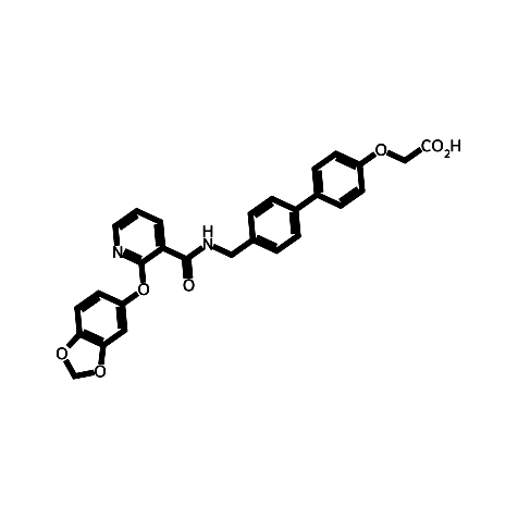 O=C(O)COc1ccc(-c2ccc(CNC(=O)c3cccnc3Oc3ccc4c(c3)OCO4)cc2)cc1